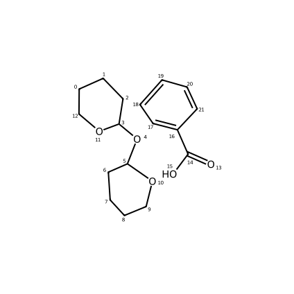 C1CCC(OC2CCCCO2)OC1.O=C(O)c1ccccc1